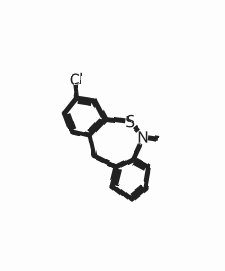 CN1Sc2cc(Cl)ccc2Cc2ccccc21